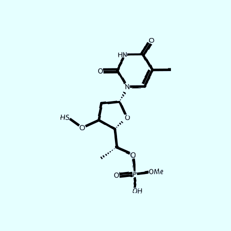 COP(=O)(O)O[C@H](C)[C@H]1O[C@@H](n2cc(C)c(=O)[nH]c2=O)CC1OS